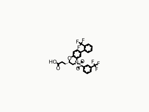 O=C(O)CC[C@H]1CN(S(=O)(=O)c2cccc(C(F)(F)F)c2)c2cc(-c3ccccc3C(F)(F)F)ccc2O1